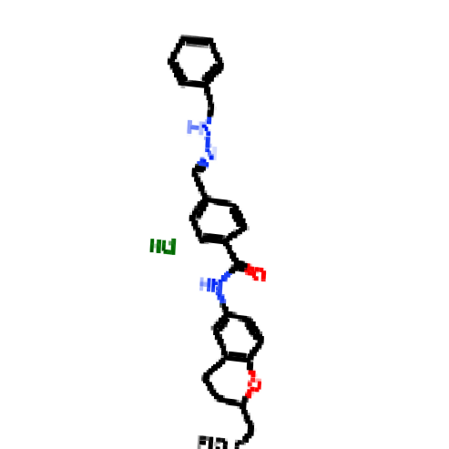 CCOC(=O)CC1CCc2cc(NC(=O)c3ccc(C=NNCc4ccccc4)cc3)ccc2O1.Cl